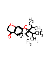 CC(C)[Si](Oc1ccc2c(c1)OCCC2=O)(C(C)C)C(C)C